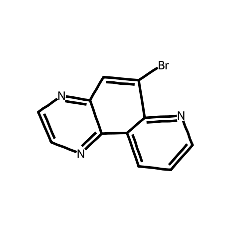 Brc1cc2nccnc2c2cccnc12